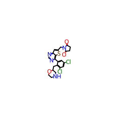 O=C1CCC(=O)N1Cc1cc2ncnc(-c3cc(Cl)cc(Cl)c3CC3CNCCO3)c2s1